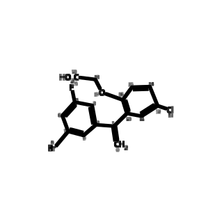 C=C(c1cc(F)cc(Br)c1)c1cc(Cl)ccc1OCC(=O)O